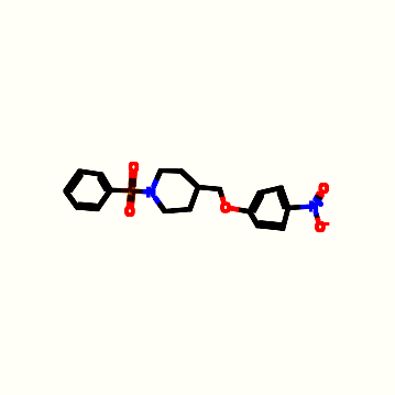 O=[N+]([O-])c1ccc(OCC2CCN(S(=O)(=O)c3ccccc3)CC2)cc1